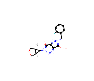 O=c1c2nn(Cc3ccccc3F)c(O)c2nnn1C1[C@H]2COC[C@@H]12